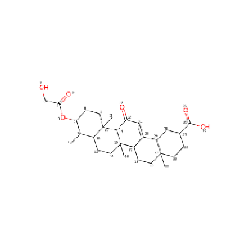 CC1C(OC(=O)CO)CCC2(C)C1CCC1(C)C3CCC4(C)CCC(C(=O)O)CC4C3=CC(=O)C12